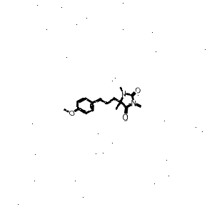 COc1ccc(CCCC2(C)C(=O)N(C)C(=O)N2C)cc1